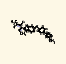 C/C=C(/C(F)=C(/C)F)c1nc2cnn(Cc3ccc(-c4noc(C)n4)cc3)cc-2n1